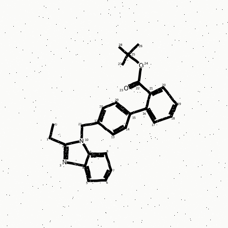 CCc1nc2ccccc2n1Cc1ccc(-c2ccccc2C(=O)OC(C)(C)C)cc1